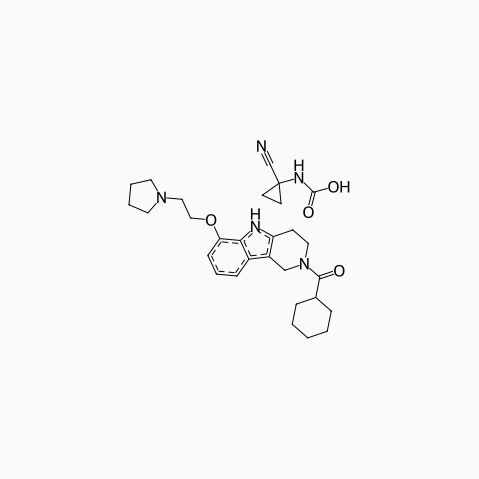 N#CC1(NC(=O)O)CC1.O=C(C1CCCCC1)N1CCc2[nH]c3c(OCCN4CCCC4)cccc3c2C1